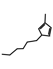 CCCCCCC1[C]=CC(C)=C1